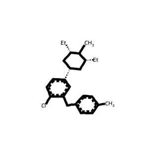 CC[C@@H]1C[C@H](c2ccc(Cl)c(Cc3ccc(C)cc3)c2)C[C@H](CC)C1C